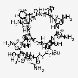 CC[C@H](C)CCCCC(=O)N[C@H](CCN)C(=O)N[C@H](C(=O)N[C@@H](CCN)C(=O)NC1CCNC(=O)[C@@H]([C@H](C)O)NC(=O)[C@H](CCN)NC(=O)[C@H](CCN)NC(=O)[C@@H](CC(C)C)NC(=O)[C@@H](Cc2ccccc2)NC(=O)[C@@H](CCN)NC1=O)[C@@H](C)O